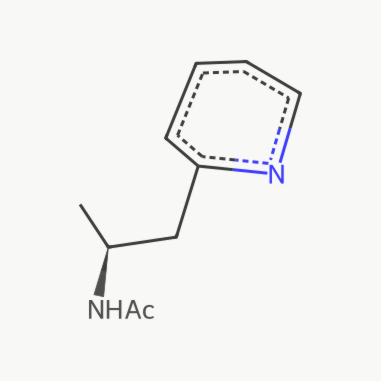 CC(=O)N[C@@H](C)Cc1ccccn1